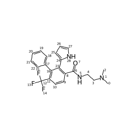 CN(C)CCNC(=O)c1ccc(C(F)(F)F)c(-c2ccccc2)c1-c1ccc[nH]1